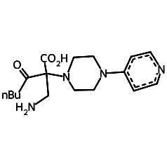 CCCCC(=O)C(CN)(C(=O)O)N1CCN(c2ccncc2)CC1